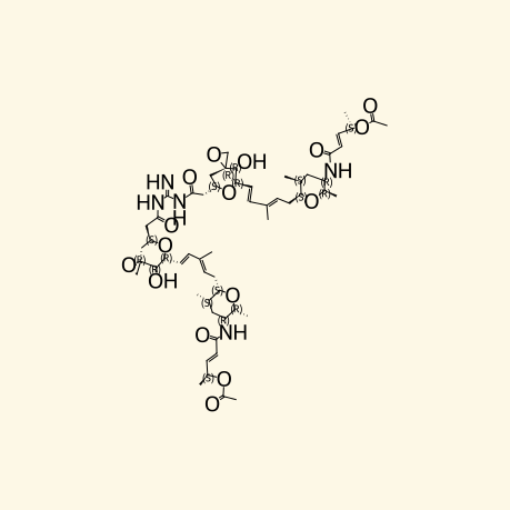 CC(=O)O[C@@H](C)C=CC(=O)N[C@@H]1C[C@H](C)[C@H](CC=C(C)C=C[C@H]2O[C@H](CC(=O)NC(=N)NC(=O)C[C@@H]3C[C@@]4(CO4)[C@H](O)[C@@H](C=CC(C)=CC[C@@H]4O[C@H](C)[C@H](NC(=O)C=C[C@H](C)OC(C)=O)C[C@@H]4C)O3)C[C@@]3(CO3)[C@@H]2O)O[C@@H]1C